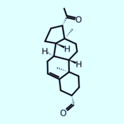 CC(=O)[C@H]1CC[C@H]2[C@@H]3CC=C4C[C@@H](C=O)CC[C@]4(C)[C@H]3CC[C@]12C